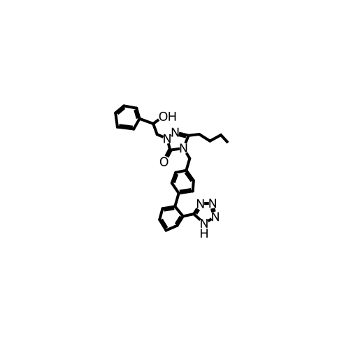 CCCCc1nn(CC(O)c2ccccc2)c(=O)n1Cc1ccc(-c2ccccc2-c2nnn[nH]2)cc1